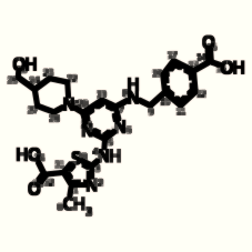 Cc1nc(Nc2nc(NCc3ccc(C(=O)O)cc3)cc(N3CCC(CO)CC3)n2)sc1C(=O)O